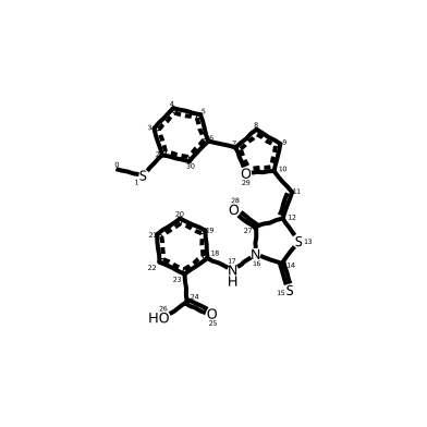 CSc1cccc(-c2ccc(C=C3SC(=S)N(Nc4ccccc4C(=O)O)C3=O)o2)c1